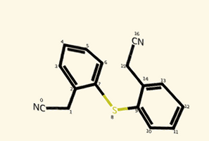 N#CCc1ccccc1Sc1ccccc1CC#N